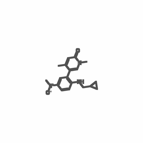 Cc1cc(=O)n(C)cc1-c1cc([S+](C)[O-])ccc1NCC1CC1